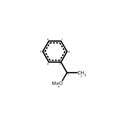 [CH]OC(C)c1ccccc1